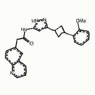 COc1ccccc1C1CC(c2cc(NC(=O)Cc3ccc4ncccc4c3)[nH]n2)C1